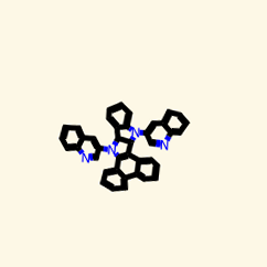 c1ccc2c(c1)C1C(c3c(c4ccccc4c4ccccc34)N1c1cnc3ccccc3c1)N2c1cnc2ccccc2c1